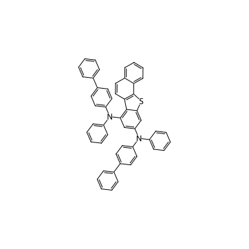 c1ccc(-c2ccc(N(c3ccccc3)c3cc(N(c4ccccc4)c4ccc(-c5ccccc5)cc4)c4c(c3)sc3c5ccccc5ccc34)cc2)cc1